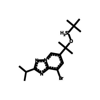 CC(C)c1nc2c(Br)cc(C(C)(C)O[SiH2]C(C)(C)C)cn2n1